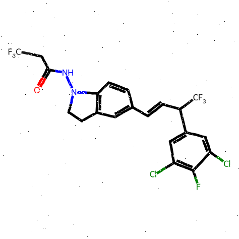 O=C(CC(F)(F)F)NN1CCc2cc(/C=C/C(c3cc(Cl)c(F)c(Cl)c3)C(F)(F)F)ccc21